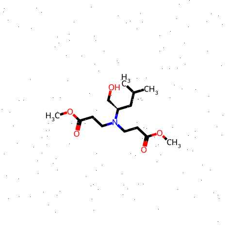 COC(=O)CCN(CCC(=O)OC)[C@@H](CO)CC(C)C